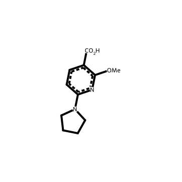 COc1nc(N2CCCC2)ccc1C(=O)O